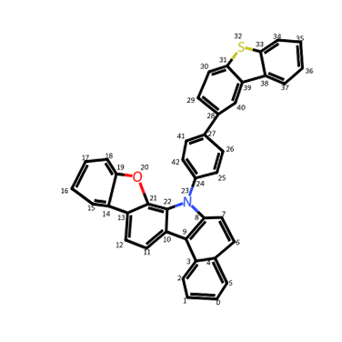 c1ccc2c(c1)ccc1c2c2ccc3c4ccccc4oc3c2n1-c1ccc(-c2ccc3sc4ccccc4c3c2)cc1